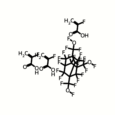 C=C(F)C(=O)O.C=C(F)C(=O)O.C=C(F)C(=O)O.FOC(F)(F)C12C(F)(F)C3(F)C(F)(F)C(C(F)(F)OF)(C1(F)F)C(F)(F)C(C(F)(F)OF)(C3(F)F)C2(F)F